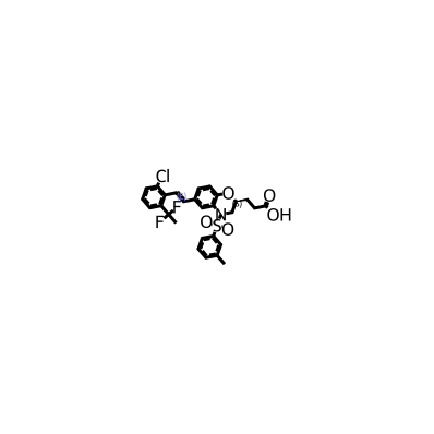 Cc1cccc(S(=O)(=O)N2C[C@H](CCC(=O)O)Oc3ccc(/C=C/c4c(Cl)cccc4C(C)(F)F)cc32)c1